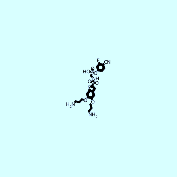 N#Cc1ccc(OP(=O)(O)CNS(=O)(=O)c2cc3cc(OCCCN)c(OCCCN)cc3s2)cc1F